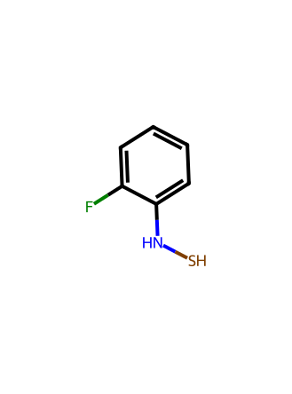 Fc1ccccc1NS